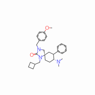 COc1ccc(CN2C[C@@]3(CC[C@@H](N(C)C)C(c4ccccc4)C3)N(CC3CCC3)C2=O)cc1